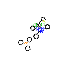 C1CCC(P(C2CCCCC2)C2CCCCC2)CC1.[Cl][Ru]([Cl])(=[CH]c1cccs1)=[c]1n(-c2ccccc2)nc(-c2ccccc2)n1-c1ccccc1